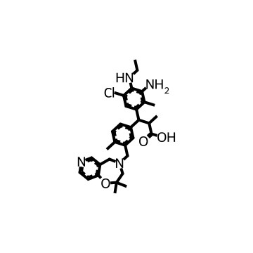 CCNc1c(Cl)cc(C(c2ccc(C)c(CN3Cc4cnccc4OC(C)(C)C3)c2)C(C)C(=O)O)c(C)c1N